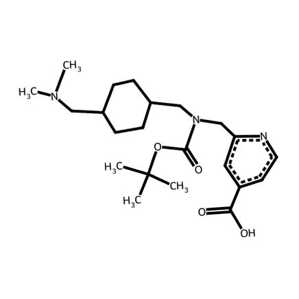 CN(C)CC1CCC(CN(Cc2cc(C(=O)O)ccn2)C(=O)OC(C)(C)C)CC1